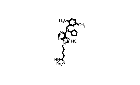 Cc1ccc(C)c(CN(c2ncnc3c2ncn3CCCCc2nnn[nH]2)C2CCCC2)c1.Cl